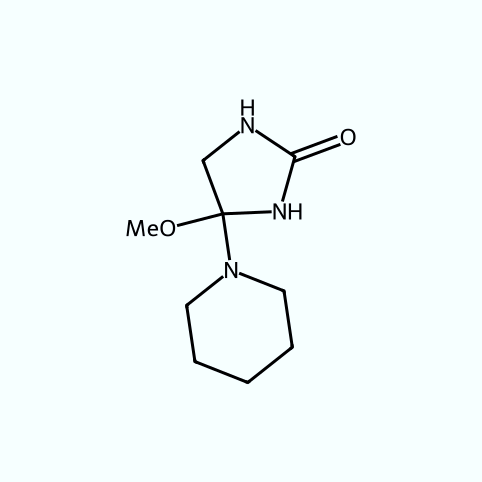 COC1(N2CCCCC2)CNC(=O)N1